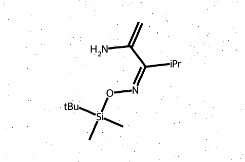 C=C(N)/C(=N\O[Si](C)(C)C(C)(C)C)C(C)C